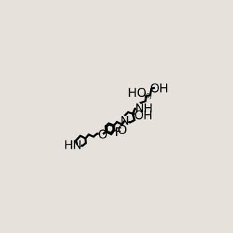 O=C(Cc1ccc(OCCCC2CCNCC2)cc1F)N1CCC(O)(CNCC[C@H](O)CCO)CC1